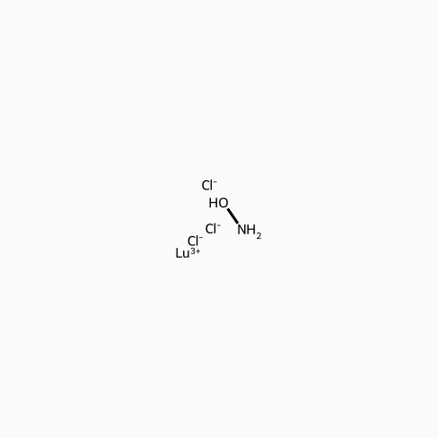 NO.[Cl-].[Cl-].[Cl-].[Lu+3]